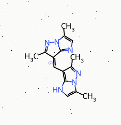 Cc1nn2c(C)c[nH]c2c1/C=c1/c(C)nn2c(C)cnc12